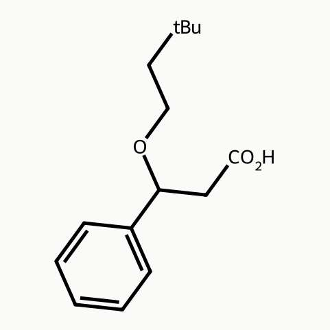 CC(C)(C)CCOC(CC(=O)O)c1ccccc1